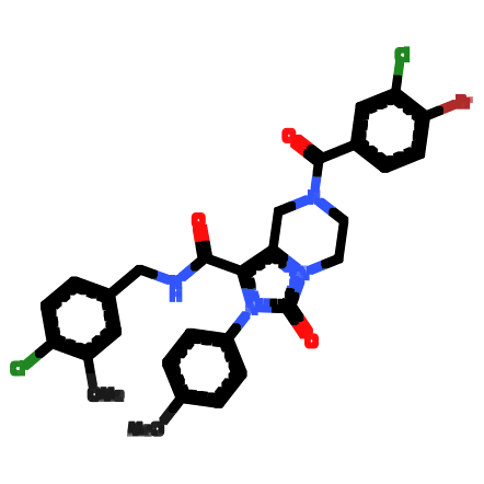 COc1ccc(-n2c(C(=O)NCc3ccc(Cl)c(OC)c3)c3n(c2=O)CCN(C(=O)c2ccc(Br)c(Cl)c2)C3)cc1